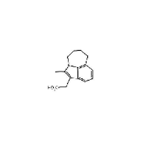 Cc1c(CC(=O)O)c2cccc3c2n1CCCC3